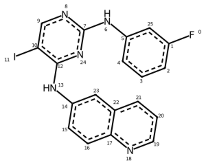 Fc1cccc(Nc2ncc(I)c(Nc3ccc4ncccc4c3)n2)c1